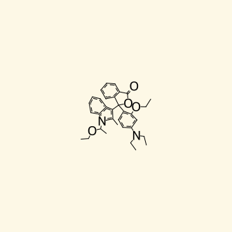 CCOc1cc(N(CC)CC)ccc1C1(c2c(C)n(C(C)OCC)c3ccccc23)OC(=O)c2ccccc21